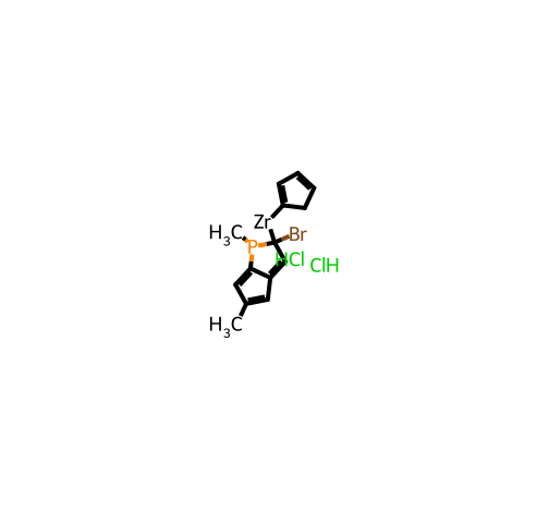 CC1=CC2=C[C](Br)([Zr][C]3=CC=CC3)P(C)C2=C1.Cl.Cl